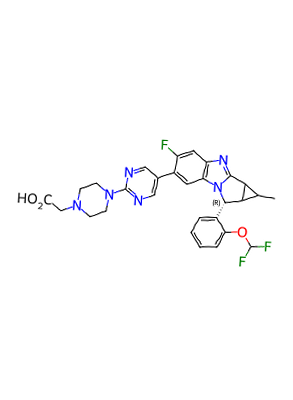 CC1C2c3nc4cc(F)c(-c5cnc(N6CCN(CC(=O)O)CC6)nc5)cc4n3[C@@H](c3ccccc3OC(F)F)C12